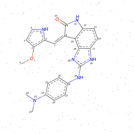 COc1cc[nH]c1/C=C1\C(=O)Nc2ccc3[nH]c(Nc4ccc(N(C)C)cc4)nc3c21